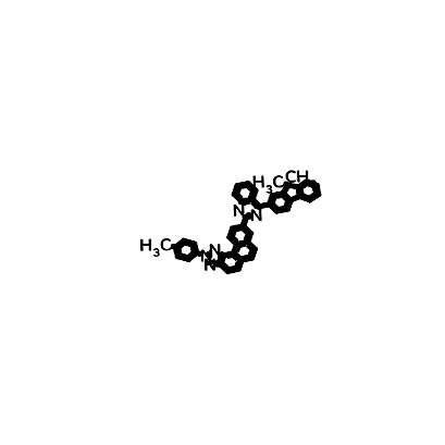 Cc1ccc(-n2nc3ccc4ccc5cc(-c6nc(-c7ccc8c(c7)C(C)(C)c7ccccc7-8)c7ccccc7n6)ccc5c4c3n2)cc1